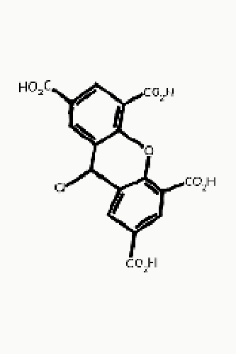 O=C(O)c1cc(C(=O)O)c2c(c1)C(Cl)c1cc(C(=O)O)cc(C(=O)O)c1O2